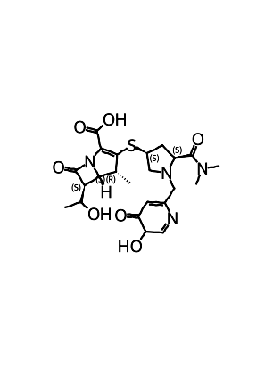 CC(O)[C@H]1C(=O)N2C(C(=O)O)=C(S[C@H]3C[C@@H](C(=O)N(C)C)N(CC4=CC(=O)C(O)C=N4)C3)[C@H](C)[C@H]12